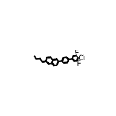 CCCCc1ccc2cc(-c3ccc(-c4cc(F)c(Cl)c(F)c4)cc3)ccc2c1